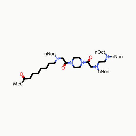 CCCCCCCCCN(CCCCCCCC)CCN(CCCCCCCCC)CC(=O)N1CCN(C(=O)CN(CCCCCCCCC)CCCCCCCC(=O)OC)CC1